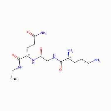 NCCC[C@H](N)C(=O)NCC(=O)N[C@@H](CCC(N)=O)C(=O)NCC=O